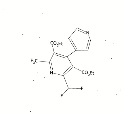 CCOC(=O)c1c(C(F)F)nc(C(F)(F)F)c(C(=O)OCC)c1-c1ccncc1